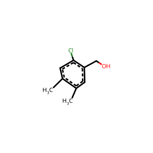 Cc1cc(Cl)c(CO)cc1C